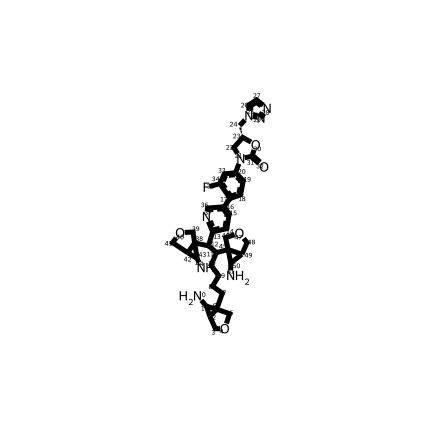 NC1C2COCC12CCCCC(C(c1ccc(-c2ccc(N3C[C@H](Cn4ccnn4)OC3=O)cc2F)cn1)C12COCC1C2N)C12COCC1C2N